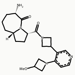 COC1CN(c2ccncc2C2CN(C(=O)[C@@H]3CC[C@@H]4CCC[C@H](N)C(=O)N43)C2)C1